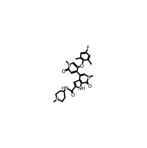 Cc1cc(F)cc(C)c1Oc1cn(C)c(=O)cc1-c1cn(C)c(=O)c2[nH]c(C(=O)NC3CCN(C)CC3)cc12